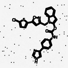 O=C(Nc1ccc(-c2c[nH]cn2)cc1)Oc1cc2ccccc2n1Cc1cc(-c2ccc(Cl)s2)on1